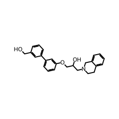 OCc1cccc(-c2cccc(OCC(O)CN3CCc4ccccc4C3)c2)c1